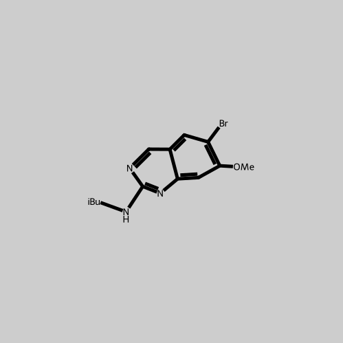 CCC(C)Nc1ncc2cc(Br)c(OC)cc2n1